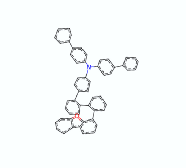 c1ccc(-c2ccc(N(c3ccc(-c4ccccc4)cc3)c3ccc(-c4ccccc4-c4ccccc4-c4cccc5c4oc4ccccc45)cc3)cc2)cc1